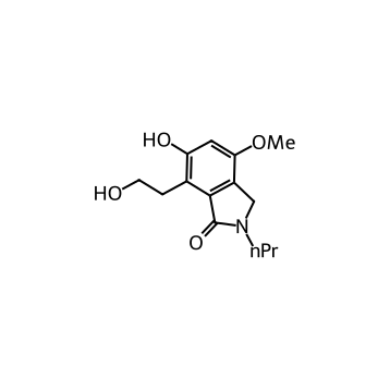 CCCN1Cc2c(OC)cc(O)c(CCO)c2C1=O